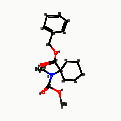 CN(C(=O)OC(C)(C)C)C1(C(=O)OCc2ccccc2)CCCCC1